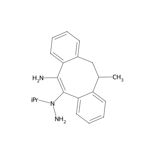 CC1Cc2ccccc2/C(N)=C(/N(N)C(C)C)c2ccccc21